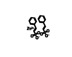 O=S(=O)([O-])C=Cc1ccccc1.O=S(=O)([O-])C=Cc1ccccc1.[Zn+2]